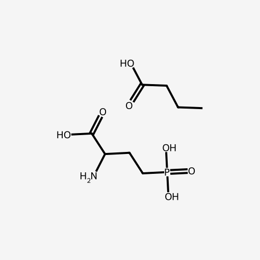 CCCC(=O)O.NC(CCP(=O)(O)O)C(=O)O